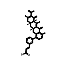 C=C(C)C1=C(C)C[C@@]2(C)C[C@@]3(C)Cc4c(-c5cccc(/C=C/C(=O)CC)c5)ccc(C)c4C(=C)C3=C(C)[C@@]2(C)C1=C